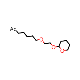 CC(=O)CCCCCOCCOC1CCCCO1